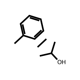 CC.CC(C)O.Cc1ccccc1